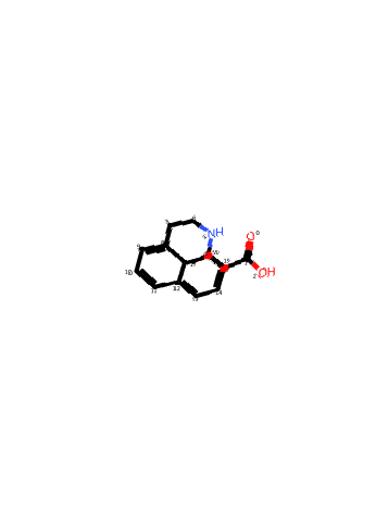 O=C(O)CC1NCCC2=CC=CC3=CC=CCC321